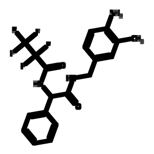 Cc1cc(CNC(=O)C(NC(=O)C(F)(F)C(F)(F)F)c2ccccc2)ccc1N